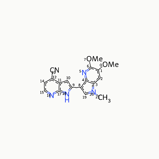 COc1cc2c(nc1OC)c(-c1cc3c(C#N)ccnc3[nH]1)cn2C